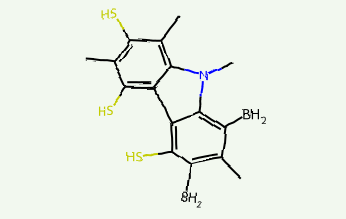 Bc1c(C)c(B)c2c(c1S)c1c(S)c(C)c(S)c(C)c1n2C